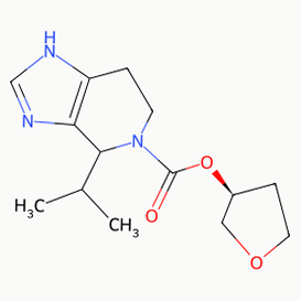 CC(C)C1c2nc[nH]c2CCN1C(=O)O[C@H]1CCOC1